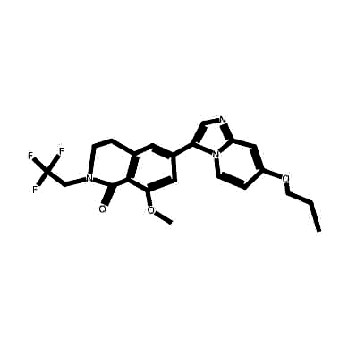 CCCOc1ccn2c(-c3cc4c(c(OC)c3)C(=O)N(CC(F)(F)F)CC4)cnc2c1